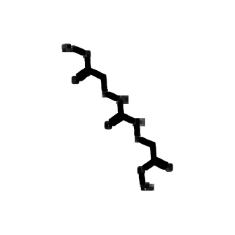 CC(C)(C)OC(=O)CSNC(=O)NSCC(=O)OC(C)(C)C